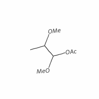 COC(C)C(OC)OC(C)=O